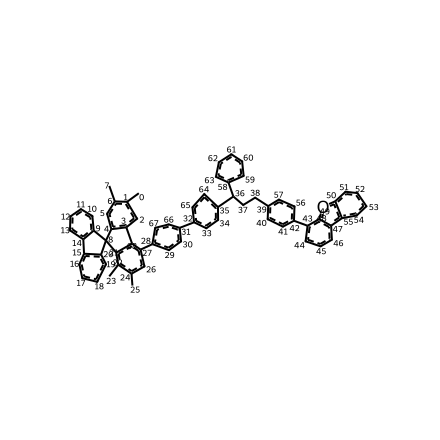 Cc1cc2c(cc1C)C1(c3ccccc3-c3ccccc31)c1c(C)c(C)cc(-c3ccc(-c4ccc(C(CCc5ccc(-c6cccc7c6oc6ccccc67)cc5)c5ccccc5)cc4)cc3)c1-2